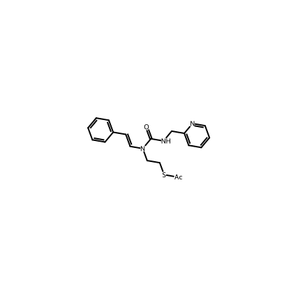 CC(=O)SCCN(C=Cc1ccccc1)C(=O)NCc1ccccn1